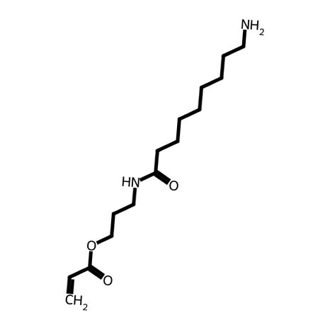 C=CC(=O)OCCCNC(=O)CCCCCCCCN